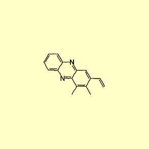 C=Cc1cc2nc3ccccc3nc2c(C)c1C